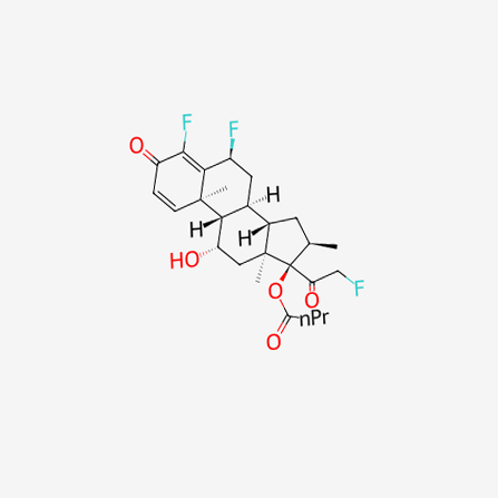 CCCC(=O)O[C@]1(C(=O)CF)[C@H](C)C[C@H]2[C@@H]3C[C@H](F)C4=C(F)C(=O)C=C[C@]4(C)[C@H]3[C@@H](O)C[C@@]21C